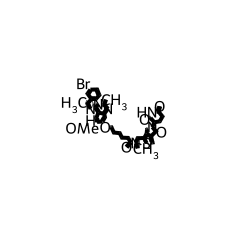 COc1cc2c(N[C@H](C)c3cccc(Br)c3)nc(C)nc2cc1OCCCCCC(=O)N(C)Cc1scc2c1CN(C1CCC(=O)NC1=O)C2=O